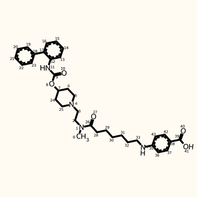 CN(CCN1CCC(OC(=O)Nc2ccccc2-c2ccccc2)CC1)C(=O)CCCCCCNc1ccc(C(=O)O)cc1